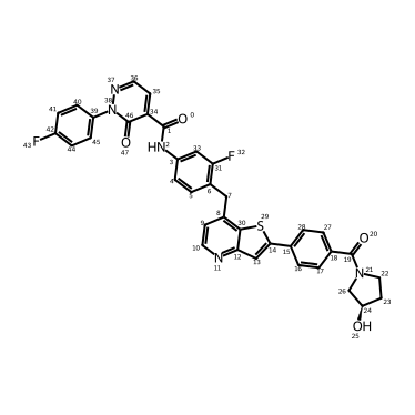 O=C(Nc1ccc(Cc2ccnc3cc(-c4ccc(C(=O)N5CC[C@@H](O)C5)cc4)sc23)c(F)c1)c1ccnn(-c2ccc(F)cc2)c1=O